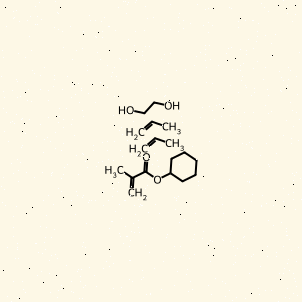 C=C(C)C(=O)OC1CCCCC1.C=CC.C=CC.OCCO